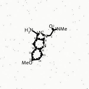 CNC(=O)Cn1nc(N)c2cc3cc(OC)ccc3nc21